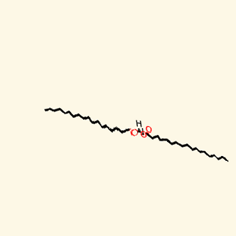 CCCCCCCCCCCCCCCCCC[O][AlH][O]C(=O)CCCCCCCCCCCCCCCCC